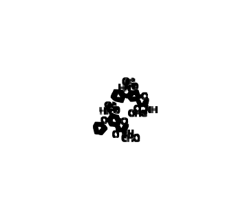 CS(=O)(=O)Nc1cc2occ(NC=O)c(=O)c2cc1-c1ccccc1.CS(=O)(=O)Nc1cc2occ(NC=O)c(=O)c2cc1Oc1ccccc1